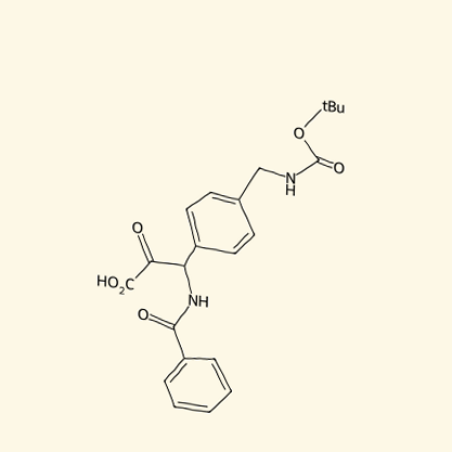 CC(C)(C)OC(=O)NCc1ccc(C(NC(=O)c2ccccc2)C(=O)C(=O)O)cc1